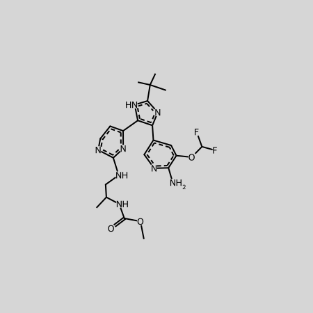 COC(=O)NC(C)CNc1nccc(-c2[nH]c(C(C)(C)C)nc2-c2cnc(N)c(OC(F)F)c2)n1